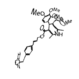 COC(=O)C1=C(C)NC(C)=C(C(=O)OCC=Cc2ccc(Cc3ncc[nH]3)cc2)C1c1ccc(OC)c(OC)c1OC